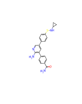 NC(=O)c1ccc(-c2cc(-c3ccc(SNC4CC4)cc3)cnc2N)cc1